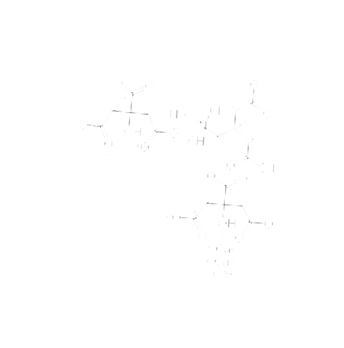 CC(=O)OC(CC(=O)[O-])C[N+](C)(C)C.O=C([O-])CC(O)(CC(=O)[O-])C(=O)[O-].O=C([O-])CC(O)(CC(=O)[O-])C(=O)[O-].[Ca+2].[Ca+2].[Ca+2]